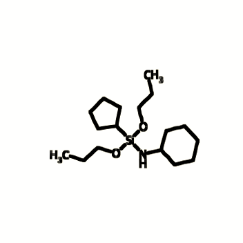 CCCO[Si](NC1CCCCC1)(OCCC)C1CCCC1